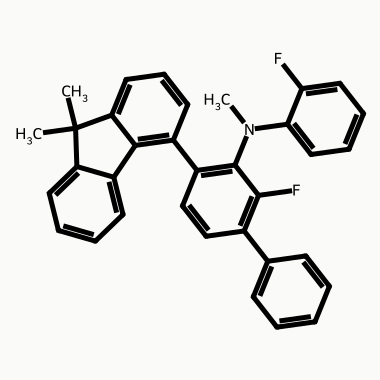 CN(c1ccccc1F)c1c(-c2cccc3c2-c2ccccc2C3(C)C)ccc(-c2ccccc2)c1F